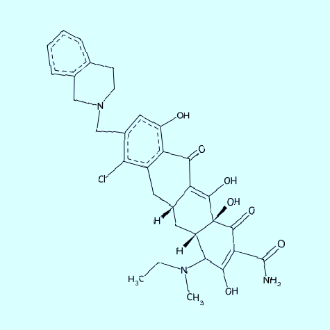 CCN(C)C1C(O)=C(C(N)=O)C(=O)[C@@]2(O)C(O)=C3C(=O)c4c(O)cc(CN5CCc6ccccc6C5)c(Cl)c4C[C@H]3C[C@@H]12